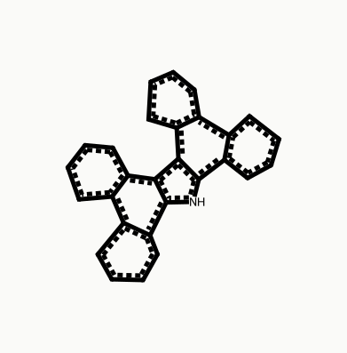 c1ccc2c(c1)c1ccccc1c1c2[nH]c2c3ccccc3c3ccccc3c21